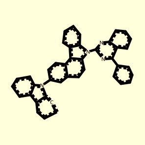 c1ccc(-c2nc(-n3c4ccccc4c4c5ccc(-n6c7ccccc7c7ccccc76)cc5ccc43)nc3ccccc23)cc1